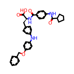 O=C(N[C@@H](Cc1ccc(Nc2ccc(OCc3ccccc3)cc2)cc1)C(=O)O)c1ccc(NC(=O)C2CCCC2)cc1